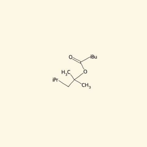 CCC(C)C(=O)OC(C)(C)CC(C)C